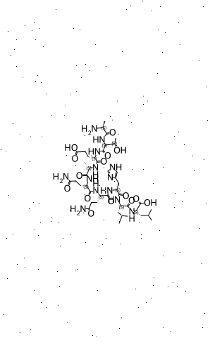 CC(C)C[C@H](NC(=O)[C@H](CC(C)C)NC(=O)[C@H](Cc1c[nH]cn1)NC(=O)[C@H](CCC(N)=O)NC(=O)[C@H](CCC(N)=O)NC(=O)[C@H](C)NC(=O)[C@H](CCC(=O)O)NC(=O)[C@@H](NC(=O)[C@H](C)N)[C@@H](C)O)C(=O)O